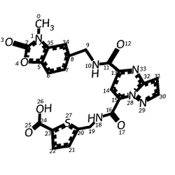 Cn1c(=O)oc2ccc(CNC(=O)c3cc(C(=O)NCc4ccc(C(=O)O)s4)n4nccc4n3)cc21